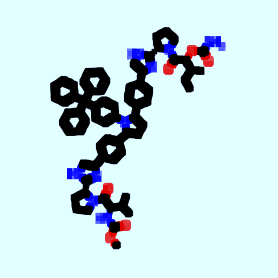 CCC(C)[C@H](OC(N)=O)C(=O)N1CCC[C@H]1c1nc(-c2ccc(-c3ccc(-c4ccc(-c5c[nH]c([C@@H]6CCCN6C(=O)[C@@H](NC(=O)OC)C(C)C)n5)cc4)n3-c3ccc(C(c4ccccc4)(c4ccccc4)c4ccccc4)cc3)cc2)c[nH]1